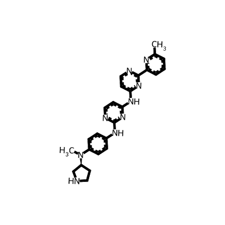 Cc1cccc(-c2nccc(Nc3ccnc(Nc4ccc(N(C)[C@H]5CCNC5)cc4)n3)n2)n1